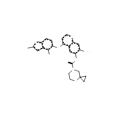 COc1cc2nccc(Oc3ccc4[nH]c(C)cc4c3F)c2cc1OC(=O)N1CCNC2(CC2)C1